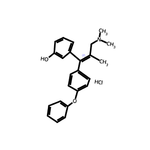 C/C(CN(C)C)=C(\c1ccc(Oc2ccccc2)cc1)c1cccc(O)c1.Cl